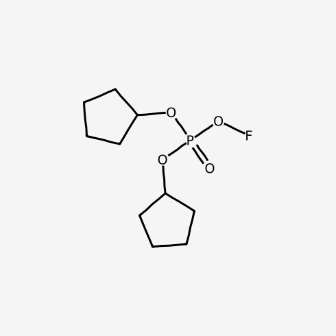 O=P(OF)(OC1CCCC1)OC1CCCC1